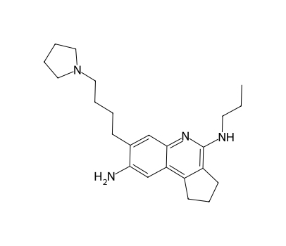 CCCNc1nc2cc(CCCCN3CCCC3)c(N)cc2c2c1CCC2